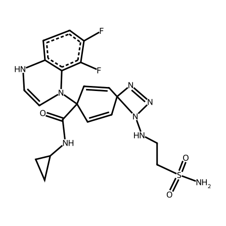 NS(=O)(=O)CCNN1N=NC12C=CC(C(=O)NC1CC1)(N1C=CNc3ccc(F)c(F)c31)C=C2